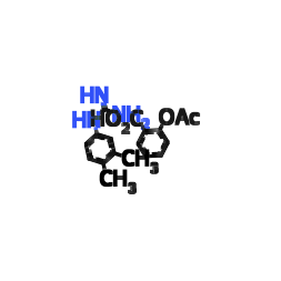 CC(=O)Oc1ccccc1C(=O)O.Cc1ccc(NC(=N)N)cc1C